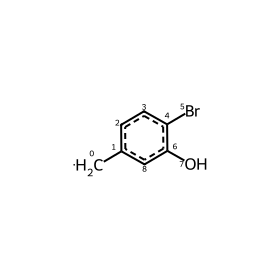 [CH2]c1ccc(Br)c(O)c1